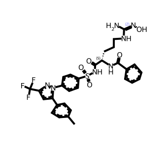 Cc1ccc(-c2cc(C(F)(F)F)nn2-c2ccc(S(=O)(=O)NC(=O)[C@H](CCCN/C(N)=N\O)NC(=O)c3ccccc3)cc2)cc1